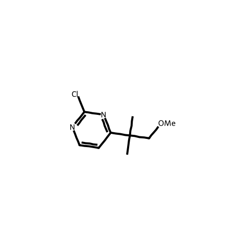 COCC(C)(C)c1ccnc(Cl)n1